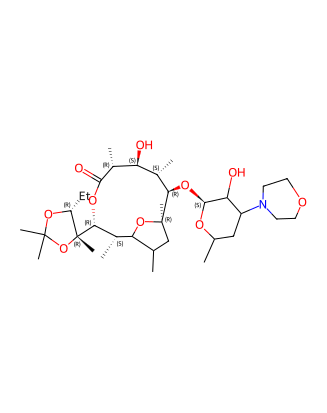 CC[C@H]1OC(C)(C)O[C@@]1(C)[C@@H]1OC(=O)[C@H](C)[C@@H](O)[C@H](C)[C@@H](O[C@@H]2OC(C)CC(N3CCOCC3)C2O)[C@@]2(C)CC(C)C(O2)[C@@H]1C